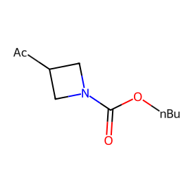 CCCCOC(=O)N1CC(C(C)=O)C1